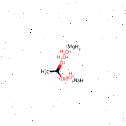 CC(=O)O.O.O.O.[MgH2].[NaH]